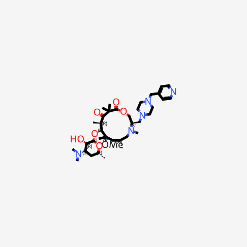 CO[C@]1(C)C[C@@H](C)CN(C)[C@H](CN2CCN(Cc3ccncc3)CC2)COC(=O)C(C)(C)C(=O)[C@H](C)[C@H]1O[C@@H]1O[C@H](C)C[C@H](N(C)C)[C@H]1O